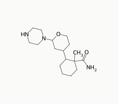 CC1(C(N)=O)CCCCC1C1CCOC(N2CCNCC2)C1